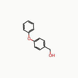 OCc1ccc(Oc2ccccc2)cc1